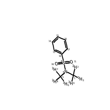 [2H]C([2H])([2H])N(C([2H])([2H])[2H])S(=O)(=O)c1ccccc1